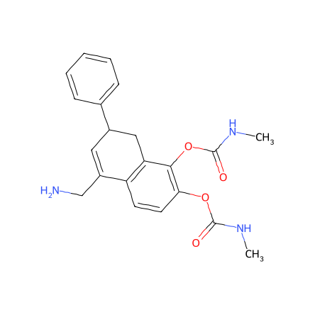 CNC(=O)Oc1ccc2c(c1OC(=O)NC)CC(c1ccccc1)C=C2CN